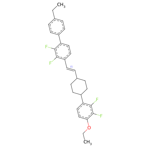 CCOc1ccc(C2CCC(/C=C/c3ccc(-c4ccc(CC)cc4)c(F)c3F)CC2)c(F)c1F